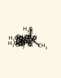 CCCCCCn1c2ccccc2c2c1c1c3ccccc3n(-c3cc4c5c(c3)Oc3ccc(C(C)(C)C)cc3B5c3cc(C(C)(C)C)ccc3O4)c1c1c3ccccc3n(CCCCCC)c21